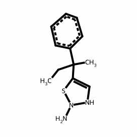 CCC(C)(C1=CNN(N)S1)c1ccccc1